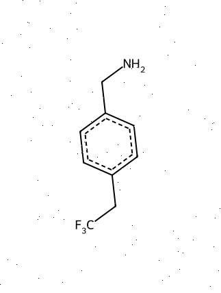 NCc1ccc(CC(F)(F)F)cc1